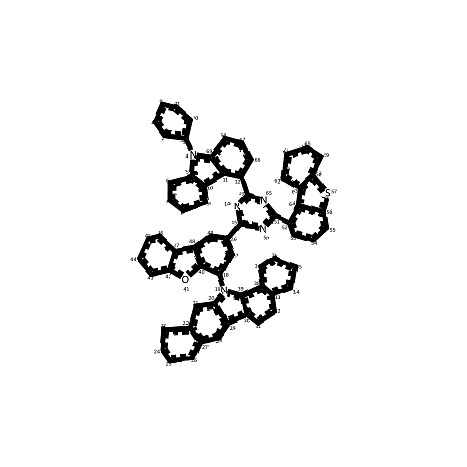 c1ccc(-n2c3ccccc3c3c(-c4nc(-c5cc(-n6c7cc8ccccc8cc7c7ccc8ccccc8c76)c6oc7ccccc7c6c5)nc(-c5cccc6sc7ccccc7c56)n4)cccc32)cc1